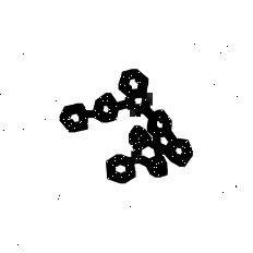 c1ccc(-c2ccc(-c3nc(-c4ccc5c(c4)C4(c6ccccc6-5)c5ccccc5N(c5ccccc5)c5ccccc54)nc4ccccc34)cc2)cc1